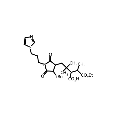 CCOC(=O)C(C)C(C(=O)O)C(C)(C)CC1C(=O)N(CCCn2ccnc2)C(=O)C1C(C)(C)C